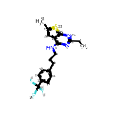 CCc1nc(NCCCc2ccc(C(F)(F)F)cc2)c2cc(C)sc2n1